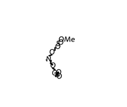 COOSOCCOCCN(C)CCOCCOS(C)(=O)=O